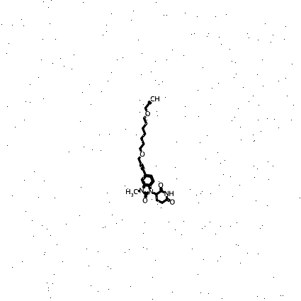 C#CCOCCCCCCCOCC#Cc1ccc2c(c1)n(C)c(=O)n2C1CCC(=O)NC1=O